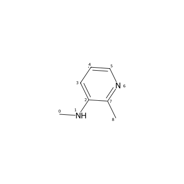 CNc1c[c]cnc1C